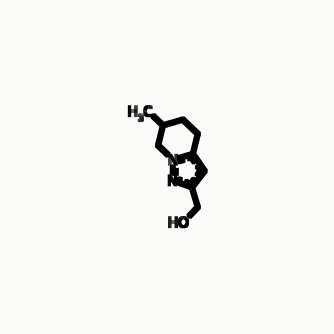 CC1CCc2cc(CO)nn2C1